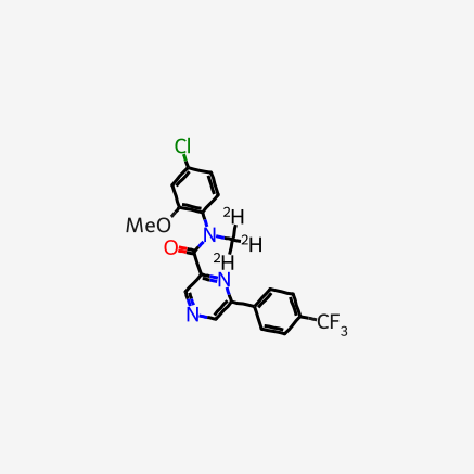 [2H]C([2H])([2H])N(C(=O)c1cncc(-c2ccc(C(F)(F)F)cc2)n1)c1ccc(Cl)cc1OC